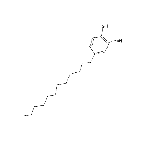 CCCCCCCCCCCCc1ccc(S)c(S)c1